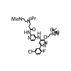 CCCN(CCNC)CCC(=O)Nc1cc(Nc2cc(-c3cc(Cl)ccc3F)nnc2OCCNS(C)(=O)=O)ccn1